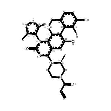 C=CC(=O)N1CCN(c2nc(=O)n(-c3c(C)noc3C(C)C)c3c4c(c(Cl)cc23)-c2c(ccc(F)c2F)CO4)[C@@H](C)C1